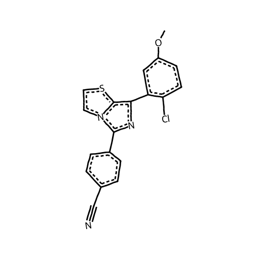 COc1ccc(Cl)c(-c2nc(-c3ccc(C#N)cc3)n3ccsc23)c1